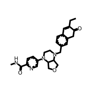 CCC1=Cc2ccc(CN3CCN(c4ccc(C(=O)NC)nc4)C4COCC43)cc2CC1=O